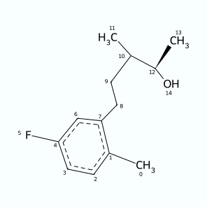 Cc1ccc(F)cc1CCC(C)[C@@H](C)O